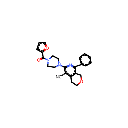 N#Cc1c(N2CCN(C(=O)c3ccco3)CC2)nc(-c2ccccc2)c2c1CCOC2